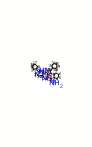 NC(=O)c1ccccc1-c1cc(-c2nc(-c3ccccc3)ncc2N)[nH]c1-c1ccccc1